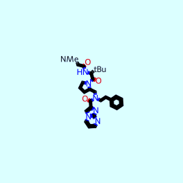 CNCC(=O)NC(C(=O)N1CCCC1CN(CCc1ccccc1)C(=O)c1cn2cccnc2n1)C(C)(C)C